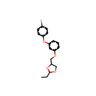 CCC1OCC(COc2cccc(Oc3ccc(F)cc3)c2)O1